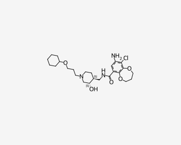 Nc1cc(C(=O)NC[C@@H]2CCN(CCCOC3CCCCC3)C[C@H]2O)c2c(c1Cl)OCCCO2